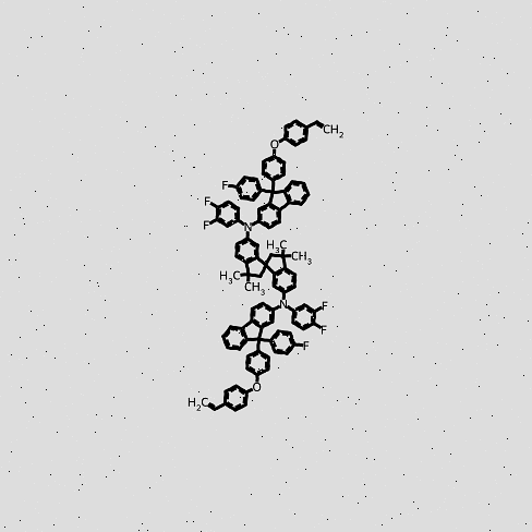 C=Cc1ccc(Oc2ccc(C3(c4ccc(F)cc4)c4ccccc4-c4ccc(N(c5ccc(F)c(F)c5)c5ccc6c(c5)C5(CC6(C)C)CC(C)(C)c6ccc(N(c7ccc(F)c(F)c7)c7ccc8c(c7)C(c7ccc(F)cc7)(c7ccc(Oc9ccc(C=C)cc9)cc7)c7ccccc7-8)cc65)cc43)cc2)cc1